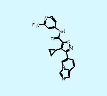 O=C(Nc1ccnc(C(F)(F)F)c1)c1snc(-c2ccc3cncn3c2)c1C1CC1